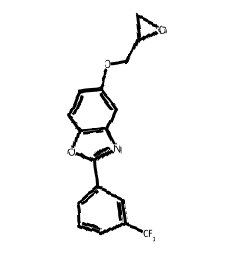 FC(F)(F)c1cccc(-c2nc3cc(OCC4CO4)ccc3o2)c1